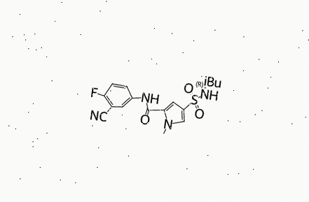 CC[C@@H](C)NS(=O)(=O)c1cc(C(=O)Nc2ccc(F)c(C#N)c2)n(C)c1